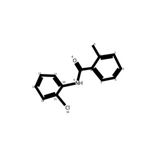 Cc1ccccc1C(=O)Nc1ccccc1Cl